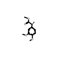 COC(=O)[C@@H](C)c1ccc(OC)c(OC)c1